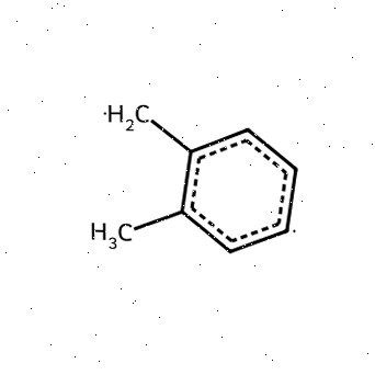 [CH2]c1cc[c]cc1C